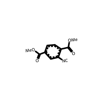 [C-]#[N+]c1cc(C(=O)OC)ccc1C(=O)OC